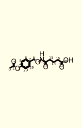 CC(=O)Oc1ccc(CONC(=O)CCCC(=O)O)cc1